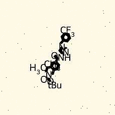 CC(C)(C)OC(=O)N1Cc2ccc(C(=O)Nc3cn(Cc4cccc(C(F)(F)F)c4)cn3)cc2C(C)(C)C1